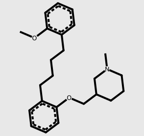 COc1ccccc1CCCCc1ccccc1OCC1CCCN(C)C1